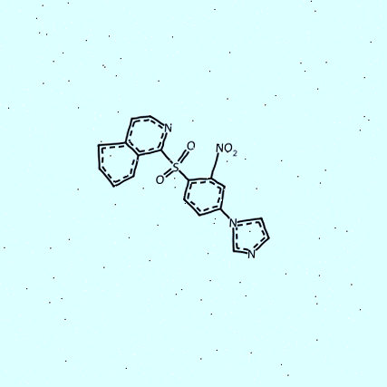 O=[N+]([O-])c1cc(-n2ccnc2)ccc1S(=O)(=O)c1nccc2ccccc12